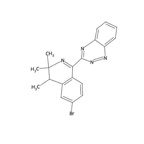 CC1c2cc(Br)ccc2C(c2nnc3ccccc3n2)=NC1(C)C